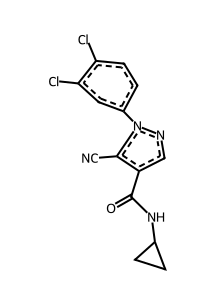 N#Cc1c(C(=O)NC2CC2)cnn1-c1ccc(Cl)c(Cl)c1